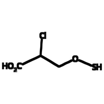 O=C(O)C(Cl)COS